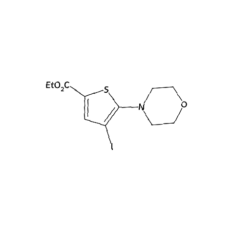 CCOC(=O)c1cc(I)c(N2CCOCC2)s1